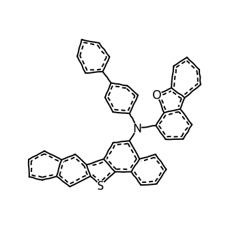 c1ccc(-c2ccc(N(c3cc4c5cc6ccccc6cc5sc4c4ccccc34)c3cccc4c3oc3ccccc34)cc2)cc1